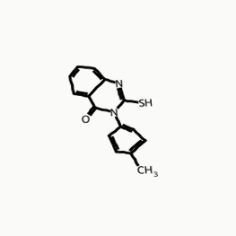 Cc1ccc(-n2c(S)nc3ccccc3c2=O)cc1